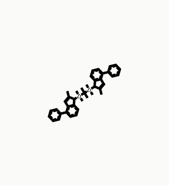 CC1=Cc2c(-c3ccccc3)cccc2[CH]1[Zr]([CH3])([CH3])[C](C)(C)[Zr]([CH3])([CH3])[CH]1C(C)=Cc2c(-c3ccccc3)cccc21